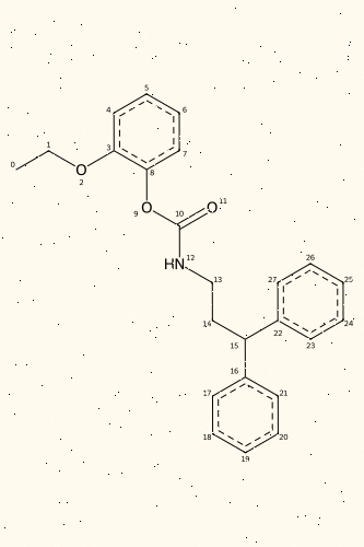 CCOc1ccccc1OC(=O)NCCC(c1ccccc1)c1ccccc1